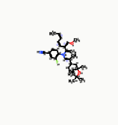 C=C(C(/C=C\C=C/C)=C\OC)N(/C=C(\C)C(CC)CC(C)(C)OC(C)(C)C)c1ccc(C#N)cc1F